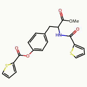 COC(=O)C(Cc1ccc(OC(=O)c2cccs2)cc1)NC(=O)c1cccs1